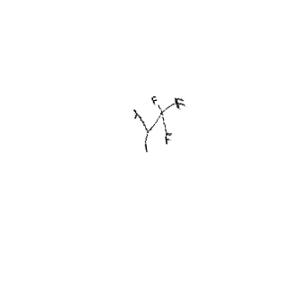 FC(F)(F)C(I)I